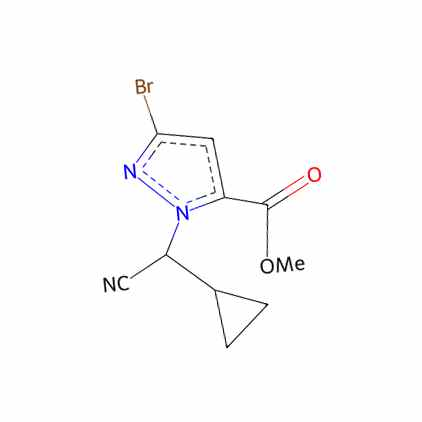 COC(=O)c1cc(Br)nn1C(C#N)C1CC1